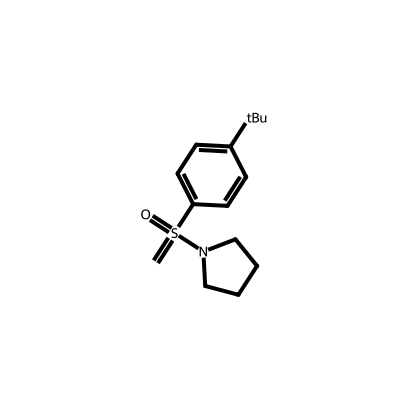 C=S(=O)(c1ccc(C(C)(C)C)cc1)N1CCCC1